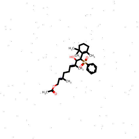 CC(=O)OC/C=C(\C)CC/C=C(\C)C(O)C(C1=C(C)CCCC1(C)C)S(=O)(=O)c1ccccc1